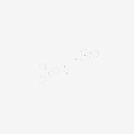 N=C(NCCCNC(=O)c1nccc2c1[nH]c1ccccc12)c1ccc2c(-c3ccncc3)c(-c3ccc(F)cc3)nn2c1